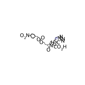 Cc1nnnn1/C=C\SC1=C(C(=O)O)N2C(=O)C(CCOC(=O)OCc3ccc([N+](=O)[O-])cc3)C2C1